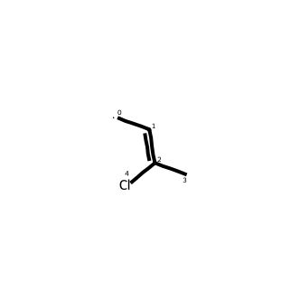 [CH2]/C=C(/C)Cl